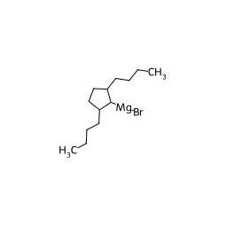 CCCCC1CCC(CCCC)[CH]1[Mg][Br]